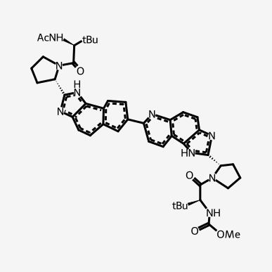 COC(=O)N[C@H](C(=O)N1CCC[C@H]1c1nc2ccc3nc(-c4ccc5c(ccc6nc([C@@H]7CCCN7C(=O)[C@@H](NC(C)=O)C(C)(C)C)[nH]c65)c4)ccc3c2[nH]1)C(C)(C)C